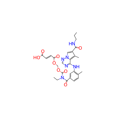 CCCNC(=O)c1cn2ncnc(Nc3cc(C(=O)N(CC)C(=O)OCOC(=O)/C=C/C(=O)O)ccc3C)c2c1C